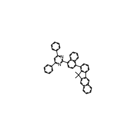 CC1(C)c2cc3ccccc3cc2-c2cccc(-c3ccc(-c4nc(-c5ccccc5)cc(-c5ccccc5)n4)c4ccccc34)c21